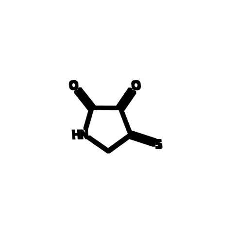 O=C1NCC(=S)C1=O